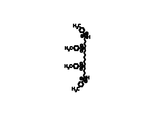 Cc1ccc(S(=O)(=O)NCCCCN(CCCCCCCN(CCCCNS(=O)(=O)c2ccc(C)cc2)S(=O)(=O)c2ccc(C)cc2)S(=O)(=O)c2ccc(C)cc2)cc1